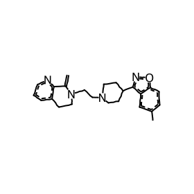 C=C1c2ncccc2CCN1CCN1CCC(c2noc3ccc(C)cc23)CC1